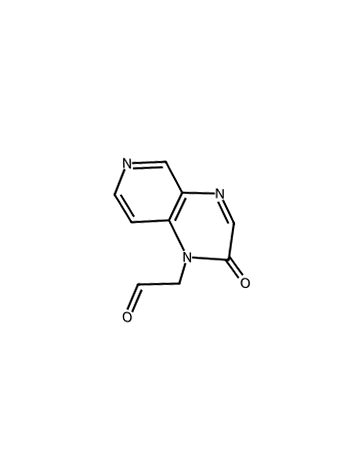 O=CCn1c(=O)cnc2cnccc21